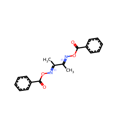 CC(=N\OC(=O)c1ccccc1)/C(C)=N/OC(=O)c1ccccc1